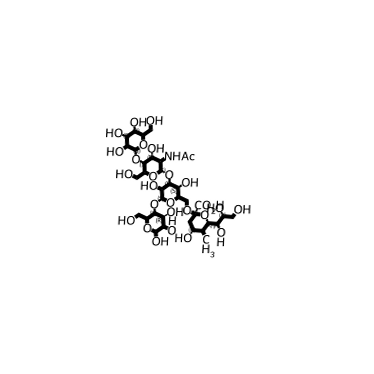 CC(=O)NC1[C@H](O[C@@H]2C(O)[C@H](O[C@@H]3C(CO)OC(O)C(O)[C@H]3O)OC(CO[C@]3(C(=O)O)C[C@@H](O)C(C)[C@H]([C@H](O)[C@H](O)CO)O3)[C@@H]2O)OC(CO)[C@@H](O[C@@H]2OC(CO)[C@H](O)[C@H](O)C2O)[C@@H]1O